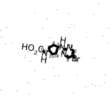 O=C(O)N[C@H]1CC[C@H](Nc2ncc(Br)cn2)CC1